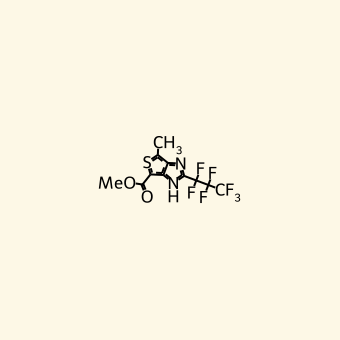 COC(=O)c1sc(C)c2nc(C(F)(F)C(F)(F)C(F)(F)F)[nH]c12